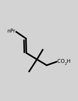 CCCC=CC(C)(C)CC(=O)O